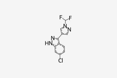 FC(F)n1cc(-c2n[nH]c3cc(Cl)ccc23)cn1